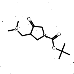 CN(C)CC1CN(C(=O)OC(C)(C)C)CC1=O